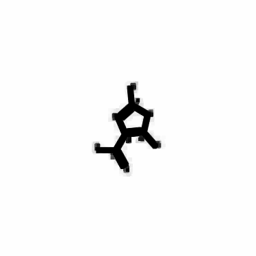 C=C(C)C1=C(C)CC(C)=C1